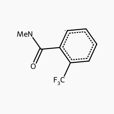 CNC(=O)c1[c]cccc1C(F)(F)F